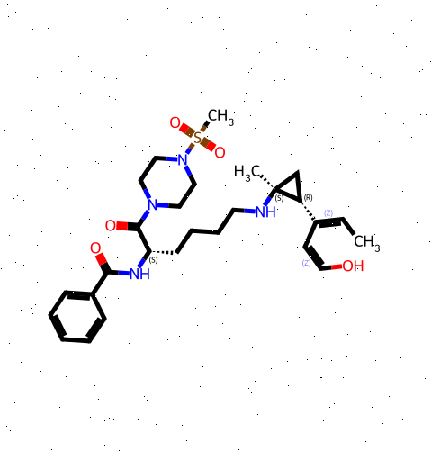 C/C=C(\C=C/O)[C@H]1C[C@]1(C)NCCCC[C@H](NC(=O)c1ccccc1)C(=O)N1CCN(S(C)(=O)=O)CC1